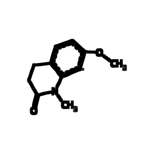 COc1[c]c2c(cc1)CCC(=O)N2C